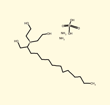 CCCCCCCCCCCCC(CO)N(CCO)CCO.N.N.O=S(=O)(O)O